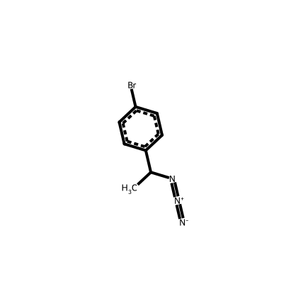 CC(N=[N+]=[N-])c1ccc(Br)cc1